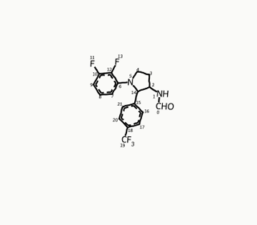 O=CNC1CCN(c2cccc(F)c2F)C1c1ccc(C(F)(F)F)cc1